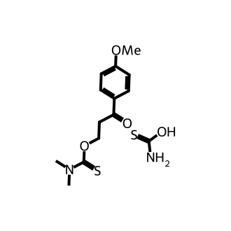 COc1ccc(C(=O)CCOC(=S)N(C)C)cc1.NC(O)=S